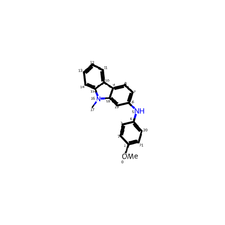 COc1ccc(Nc2ccc3c4ccccc4n(C)c3c2)cc1